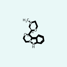 CN1CCO[C@@H]([C@@H]2OCCN3NC4C=CC=CC4=C23)C1